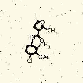 CC(=O)Oc1c(Cl)ccc(NC(=O)c2ccoc2C)c1C